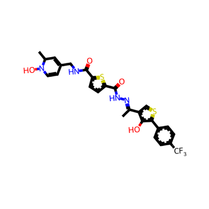 C/C(=N\NC(=O)c1ccc(C(=O)NCC2=CC(C)N(O)C=C2)s1)c1csc(-c2ccc(C(F)(F)F)cc2)c1O